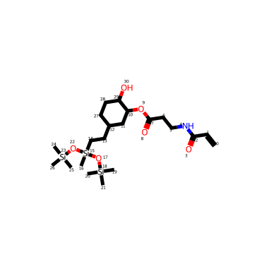 C=CC(=O)NCCC(=O)OC1CC(CC[Si](C)(O[Si](C)(C)C)O[Si](C)(C)C)CCC1O